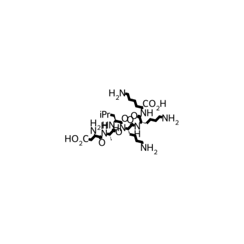 CC(C)C[C@H](NC(=O)[C@H](C)NC(=O)[C@@H](N)CC(=O)O)C(=O)N[C@@H](CCCCN)C(=O)N[C@@H](CCCCN)C(=O)N[C@@H](CCCCN)C(=O)O